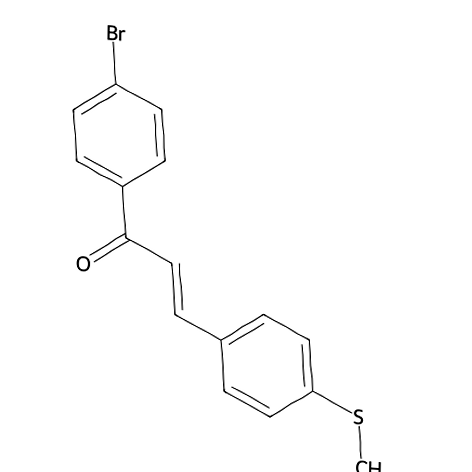 CSc1ccc(C=CC(=O)c2ccc(Br)cc2)cc1